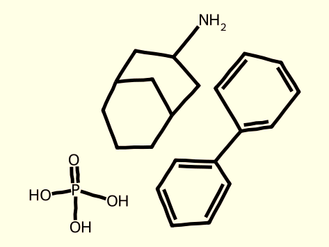 NC1CC2CCCC(C1)C2.O=P(O)(O)O.c1ccc(-c2ccccc2)cc1